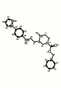 CN1CCN(C(=O)OCc2ccccc2)C[C@H]1CCNc1ccc(-n2cccn2)cc1